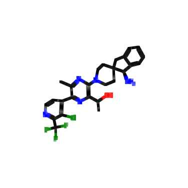 Cc1nc(N2CCC3(CC2)Cc2ccccc2[C@H]3N)c(C(C)O)nc1-c1ccnc(C(F)(F)F)c1Cl